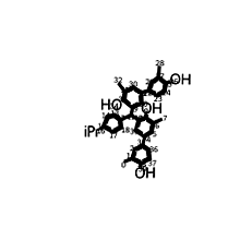 Cc1cc(-c2cc(C)c(O)c(C(c3ccc(C(C)C)cc3)c3cc(-c4ccc(O)c(C)c4)cc(C)c3O)c2)ccc1O